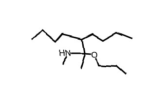 CCCCC(CCCC)C(C)(NC)OCCC